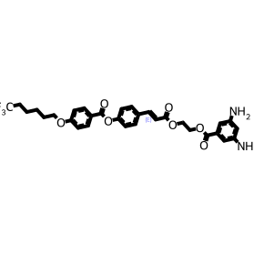 Nc1cc(N)cc(C(=O)OCCOC(=O)/C=C/c2ccc(OC(=O)c3ccc(OCCCCCC(F)(F)F)cc3)cc2)c1